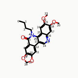 CCCCn1c(=O)c2cc3c(cc2c2cnc4cc(OC)c(OC)cc4c21)OCO3